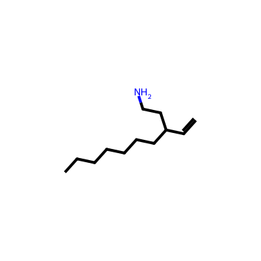 C=CC(CCN)CCCCCCC